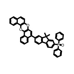 CC1(C)c2cc(-c3cc4c(c5ccccc35)Oc3c(ccc5ccccc35)O4)ccc2-c2ccc(P(=O)(c3ccccc3)c3ccccc3)cc21